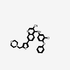 N#Cc1cnc2cc(-c3csc(CN4CCOCC4)c3)ccc2c1Nc1ccc(Oc2ccccc2)c(Cl)c1